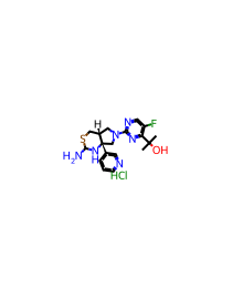 CC(C)(O)c1nc(N2C[C@H]3CSC(N)N[C@@]3(c3cccnc3)C2)ncc1F.Cl